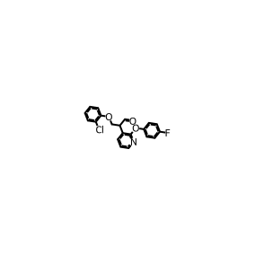 O=CC(COc1ccccc1Cl)c1cccnc1Oc1ccc(F)cc1